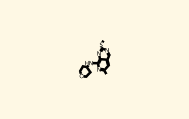 CSc1ncc2cc(C)nc(NC3CCOCC3)c2n1